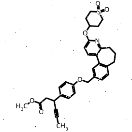 CC#CC(CC(=O)OC)c1ccc(OCc2ccc3c(c2)-c2ccc(OC4CCS(=O)(=O)CC4)nc2CCC3)cc1